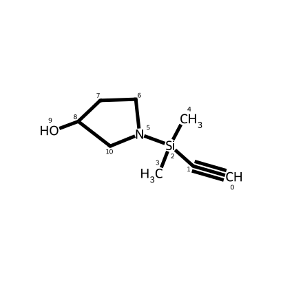 C#C[Si](C)(C)N1CCC(O)C1